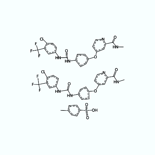 CNC(=O)c1cc(Oc2ccc(NC(=O)Nc3ccc(Cl)c(C(F)(F)F)c3)cc2)ccn1.CNC(=O)c1cc(Oc2ccc(NC(=O)Nc3ccc(Cl)c(C(F)(F)F)c3)cc2)ccn1.Cc1ccc(S(=O)(=O)O)cc1